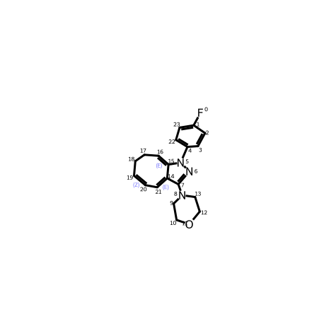 Fc1ccc(-n2nc(N3CCOCC3)c3/c2=C\CC/C=C\C=3)cc1